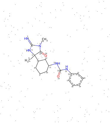 CN1C(=N)NC(C)(C2CCCC(NC(=O)Nc3ccccc3)C2)C1=O